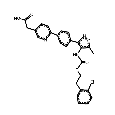 Cc1onc(-c2ccc(-c3ccc(CC(=O)O)cn3)cc2)c1NC(=O)OCCc1ccccc1Cl